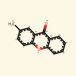 Cc1ccc2oc3ccccc3c(=O)c2c1